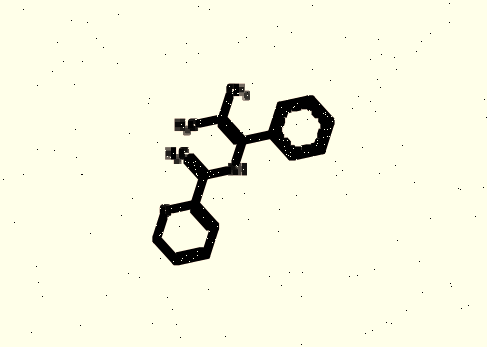 C=C(NC(=C(C)C)c1ccccc1)C1=CC=CCO1